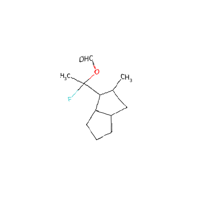 CC1CC2CCCC2C1C(C)(F)OC=O